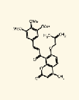 C=C(C)COc1ccc2c(C)cc(=O)oc2c1C(=O)C=Cc1cc(OC)c(OC)c(OC)c1